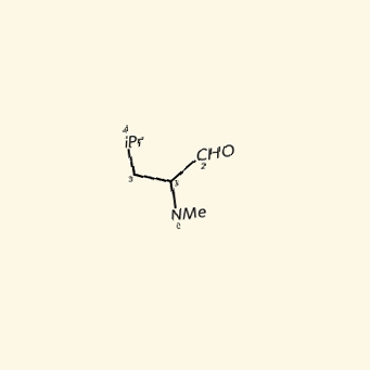 CNC(C=O)CC(C)C